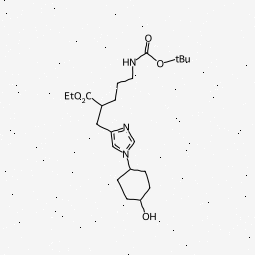 CCOC(=O)C(CCCNC(=O)OC(C)(C)C)Cc1cn(C2CCC(O)CC2)cn1